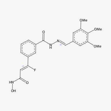 COc1cc(/C=N/NC(=O)c2cccc(/C(F)=C/C(=O)NO)c2)cc(OC)c1OC